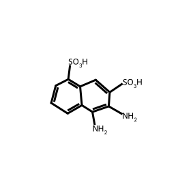 Nc1c(S(=O)(=O)O)cc2c(S(=O)(=O)O)cccc2c1N